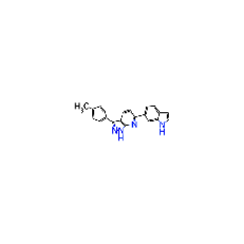 Cc1ccc(-c2n[nH]c3nc(-c4ccc5cc[nH]c5c4)ccc23)cc1